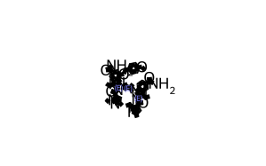 CCn1nc(C)cc1C(=O)/N=c1\n(CC)c2cc(C(N)=O)ccc2n1C/C(C)=C(\C)Cn1/c(=N/C(=O)c2cc(C)nn2CC)n(CC)c2cc(C(N)=O)cc(OCc3ccc(OC)cc3)c21